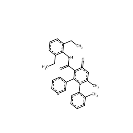 CCc1cccc(CC)c1NC(=O)c1c(-c2cccnc2)n(-c2ccccc2C)c(C)cc1=O